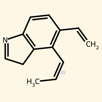 C=Cc1ccc2c(c1/C=C\C)CC=N2